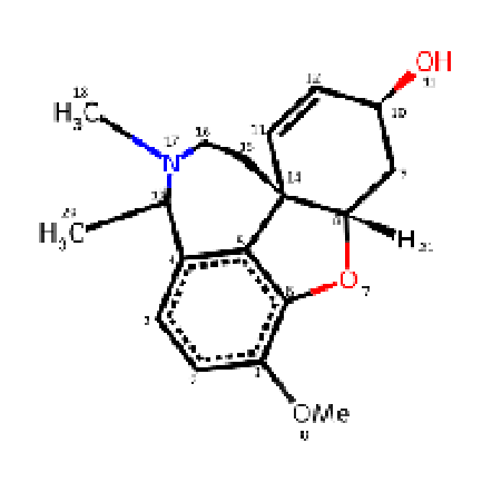 COc1ccc2c3c1O[C@H]1C[C@H](O)C=C[C@@]31CCN(C)C2C